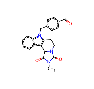 CN1C(=O)C2c3c(n(Cc4ccc(C=O)cc4)c4ccccc34)CCN2C1=O